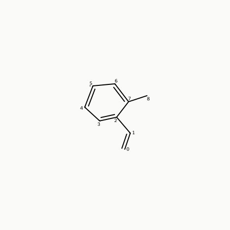 C=Cc1cc[c]cc1C